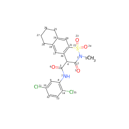 CN1C(=O)C(C(=O)Nc2cc(Cl)ccc2Cl)c2cc3c(cc2S1(=O)=O)CCCC3